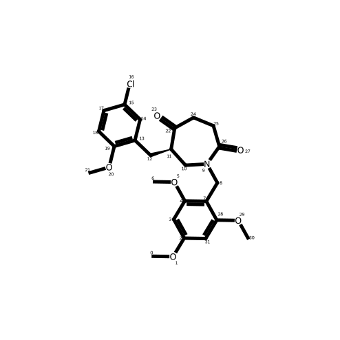 COc1cc(OC)c(CN2C[C@@H](Cc3cc(Cl)ccc3OC)C(=O)CCC2=O)c(OC)c1